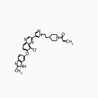 C=CC(=O)N1CCC(CCn2cc(-c3cnc4ccc(Oc5ccc6nc(C)[nH]c6c5)c(Cl)c4n3)cn2)CC1